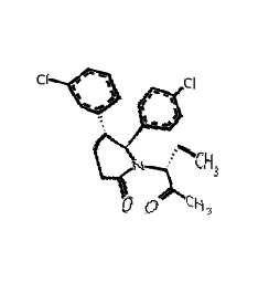 CC[C@H](C(C)=O)N1C(=O)CC[C@H](c2cccc(Cl)c2)[C@H]1c1ccc(Cl)cc1